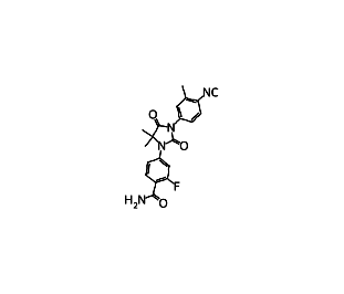 [C-]#[N+]c1ccc(N2C(=O)N(c3ccc(C(N)=O)c(F)c3)C(C)(C)C2=O)cc1C